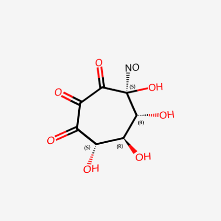 O=N[C@@]1(O)C(=O)C(=O)C(=O)[C@@H](O)[C@H](O)[C@H]1O